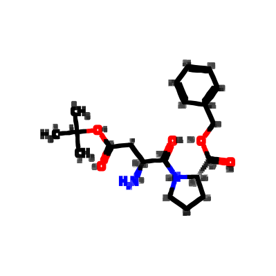 CC(C)(C)OC(=O)C[C@H](N)C(=O)N1CCC[C@H]1C(=O)OCc1ccccc1